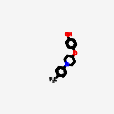 Oc1ccc(OC2CCN(c3ccc(C(F)(F)F)cc3)CC2)cc1